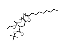 CCCCCCCCc1nnc(CC(C(=O)OC(C)(C)C)P(C)(=O)OCC)o1